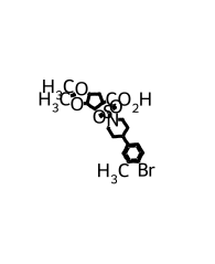 Cc1cc(C2CCN(S(=O)(=O)C3(C(=O)O)CC4OC(C)(C)OC4C3)CC2)ccc1Br